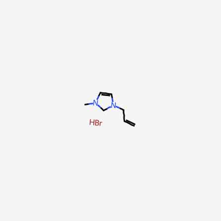 Br.C=CCN1C=CN(C)C1